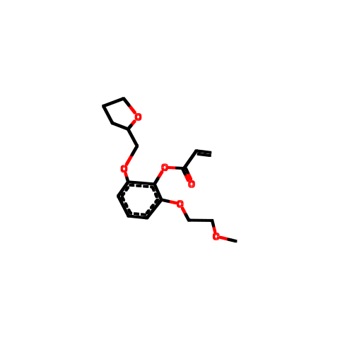 C=CC(=O)Oc1c(OCCOC)cccc1OCC1CCCO1